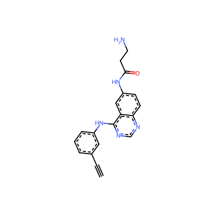 C#Cc1cccc(Nc2ncnc3ccc(NC(=O)CCN)cc23)c1